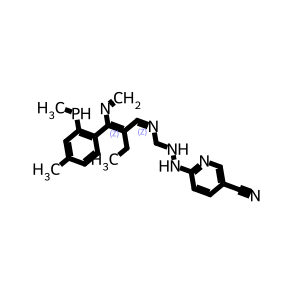 C=N/C(=C(\C=N/CNNc1ccc(C#N)cn1)CC)c1ccc(C)cc1PC